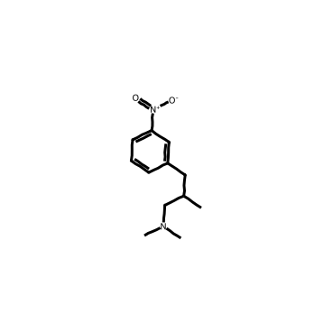 CC(Cc1cccc([N+](=O)[O-])c1)CN(C)C